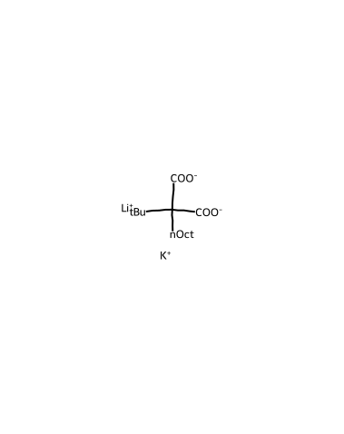 CCCCCCCCC(C(=O)[O-])(C(=O)[O-])C(C)(C)C.[K+].[Li+]